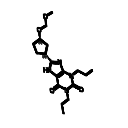 CCCn1c(=O)c2[nH]c([C@@H]3CC[C@@H](OCOC)C3)nc2n(CCC)c1=O